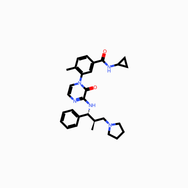 Cc1ccc(C(=O)NC2CC2)cc1-n1ccnc(N[C@@H](c2ccccc2)[C@H](C)CN2CCCC2)c1=O